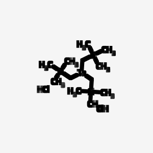 C[Si](C)(C)[CH2][Ta]([CH2][Si](C)(C)C)[CH2][Si](C)(C)C.Cl.Cl